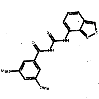 COc1cc(OC)cc(C(=O)NC(=S)Nc2cccc3csnc23)c1